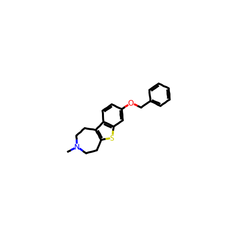 CN1CCc2sc3cc(OCc4ccccc4)ccc3c2CC1